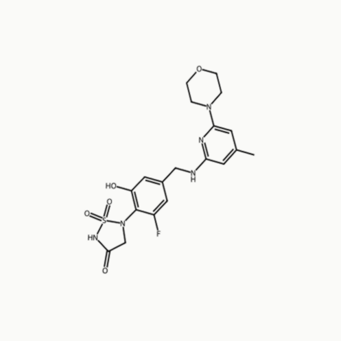 Cc1cc(NCc2cc(O)c(N3CC(=O)NS3(=O)=O)c(F)c2)nc(N2CCOCC2)c1